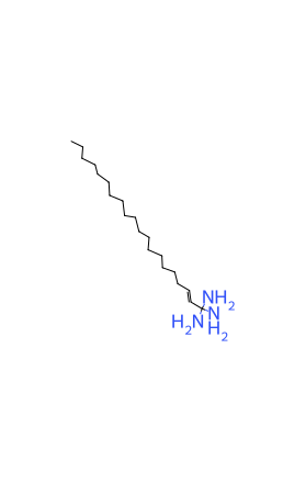 CCCCCCCCCCCCCCCCCC=CC(N)(N)N